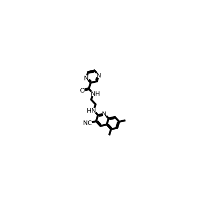 Cc1cc(C)c2cc(C#N)c(NCCNC(=O)c3cnccn3)nc2c1